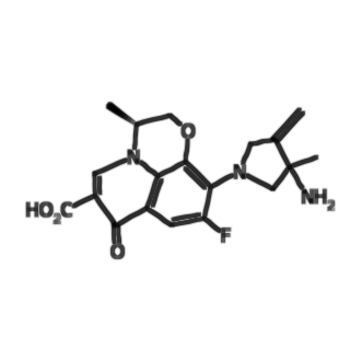 C=C1CN(c2c(F)cc3c(=O)c(C(=O)O)cn4c3c2OC[C@@H]4C)CC1(C)N